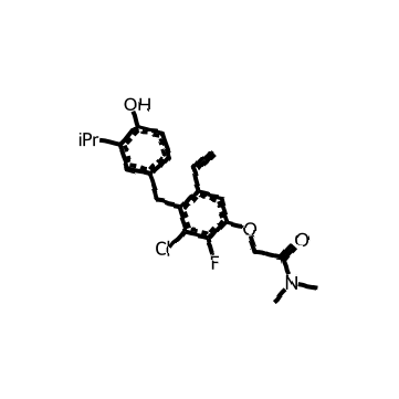 C=Cc1cc(OCC(=O)N(C)C)c(F)c(Cl)c1Cc1ccc(O)c(C(C)C)c1